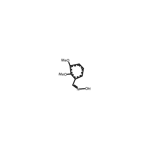 COc1cccc(/C=N\O)c1OC